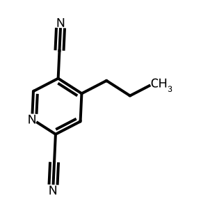 CCCc1cc(C#N)ncc1C#N